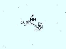 C#CCN/C(=C/[N+](=O)[O-])NCCSCc1[nH]cnc1Br